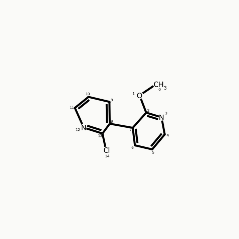 COc1ncccc1-c1cccnc1Cl